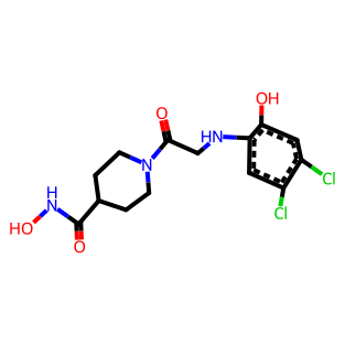 O=C(NO)C1CCN(C(=O)CNc2cc(Cl)c(Cl)cc2O)CC1